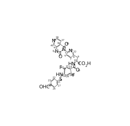 Cn1c(=O)n(-c2ccc(CC(NC(=O)c3cc(F)c(NSc4ccc(C=O)cc4)cc3F)C(=O)O)cn2)c(=O)c2ccncc21